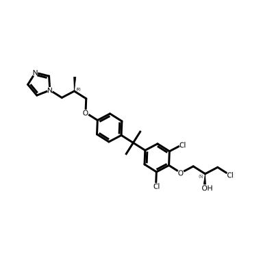 C[C@@H](COc1ccc(C(C)(C)c2cc(Cl)c(OC[C@H](O)CCl)c(Cl)c2)cc1)Cn1ccnc1